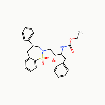 CCOC(=O)N[C@@H](Cc1ccccc1)[C@H](O)CN1C[C@H](c2ccccc2)Cc2ccccc2S1(=O)=O